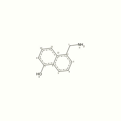 NCc1cccc2c(O)cccc12